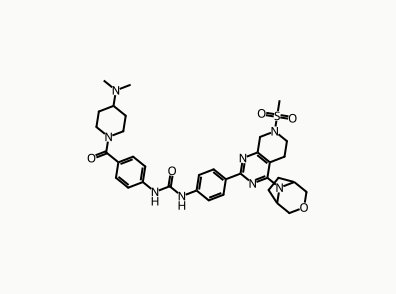 CN(C)C1CCN(C(=O)c2ccc(NC(=O)Nc3ccc(-c4nc5c(c(N6C7CCC6COC7)n4)CCN(S(C)(=O)=O)C5)cc3)cc2)CC1